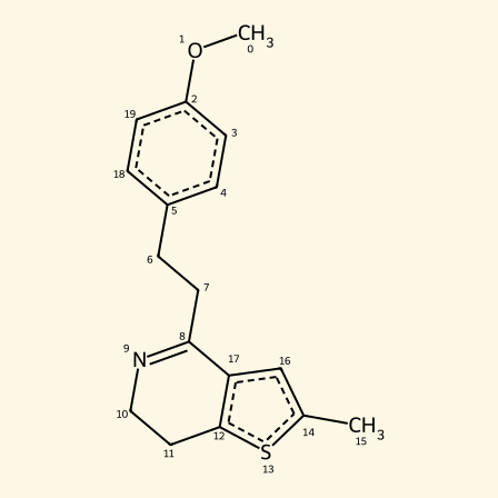 COc1ccc(CCC2=NCCc3sc(C)cc32)cc1